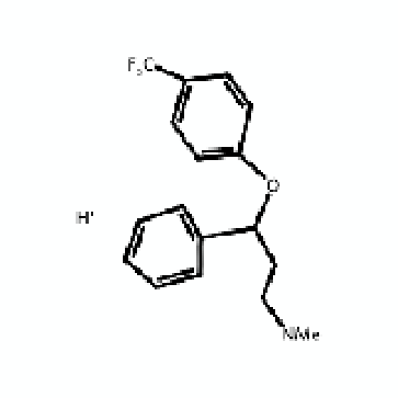 CNCCC(Oc1ccc(C(F)(F)F)cc1)c1ccccc1.[H+]